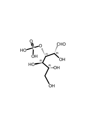 O=C[C@H](O)[C@@H](OP(=O)(O)O)[C@H](O)[C@H](O)CO